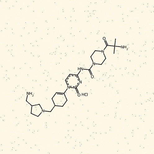 CC(C)(N)C(=O)N1CCN(C(=O)Nc2ccn(C3=CCC(CN4CCC(CN)C4)CC3)c(=O)n2)CC1.Cl